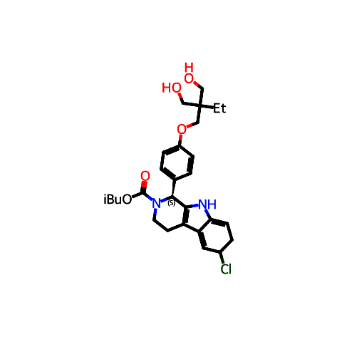 CCC(CO)(CO)COc1ccc([C@H]2c3[nH]c4c(c3CCN2C(=O)OCC(C)C)=CC(Cl)CC=4)cc1